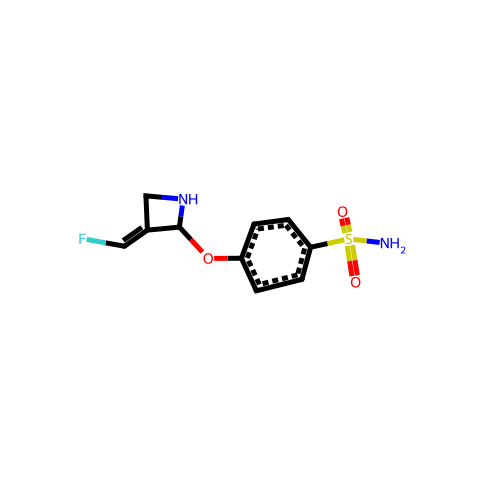 NS(=O)(=O)c1ccc(OC2NC/C2=C\F)cc1